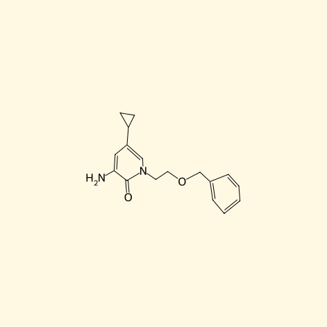 Nc1cc(C2CC2)cn(CCOCc2ccccc2)c1=O